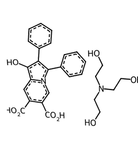 O=C(O)c1cc2c(O)c(-c3ccccc3)c(-c3ccccc3)n2cc1C(=O)O.OCCN(CCO)CCO